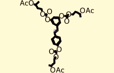 CC(=O)OC(C)CCOC(=O)Oc1ccc(/C=C/c2cc(OC(=O)OCCC(C)OC(C)=O)cc(OC(=O)OCCC(C)OC(C)=O)c2)cc1